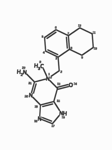 C[N+]1(Cc2cccc3c2CCCC3)C(=O)c2[nH]cnc2N=C1N